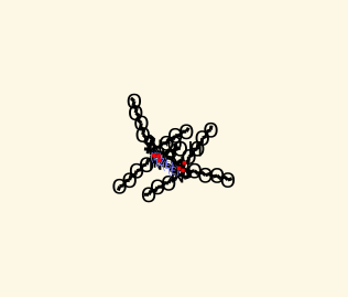 COCCOCCOCCOCc1cn(Cc2cc(C(=O)O)cc(Cn3cc(COCCOCCOCCOC)nn3)c2C(=C\C=C\C2=[N+](CCOCCOCCOC)c3ccc(OCCOCCOCCOC)cc3C2(C)C)/C=C/C=C2/N(CCOCCOCCOC)c3ccc(OCCOCCOCCOC)cc3C2(C)C)nn1